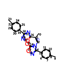 C/C(=C/n1c(-c2ccc(C)cc2)noc1=O)c1nc(-c2ccc(C)cc2)no1